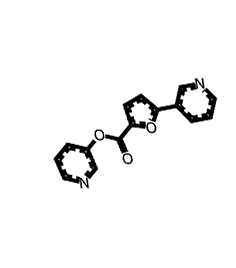 O=C(Oc1cccnc1)c1ccc(-c2cccnc2)o1